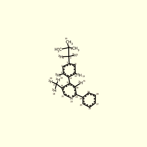 [2H]c1cc(C([2H])([2H])C(C)(C)C)cc([2H])c1-c1c(C([2H])([2H])[2H])cnc(-c2ccccc2)c1[2H]